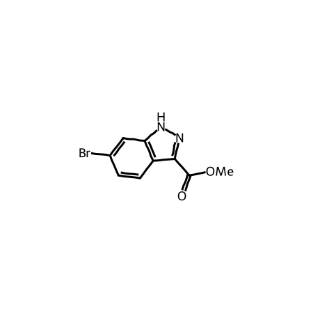 COC(=O)c1n[nH]c2cc(Br)ccc12